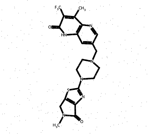 Cc1c(C(F)(F)F)c(=O)[nH]c2cc(CN3CCN(c4nc5c(s4)CN(C)C5=O)CC3)cnc12